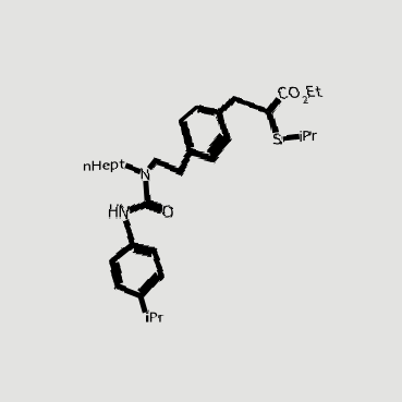 CCCCCCCN(CCc1ccc(CC(SC(C)C)C(=O)OCC)cc1)C(=O)Nc1ccc(C(C)C)cc1